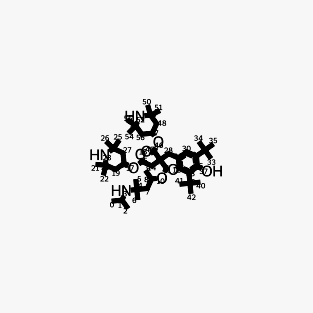 CC(C)NC(C)(C)CC(C)OC(=O)C(CC(=O)OC1CC(C)(C)NC(C)(C)C1)(Cc1cc(C(C)(C)C)c(O)c(C(C)(C)C)c1)C(=O)OC1CC(C)(C)NC(C)(C)C1